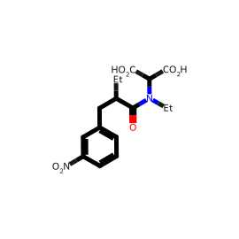 CCC(Cc1cccc([N+](=O)[O-])c1)C(=O)N(CC)C(C(=O)O)C(=O)O